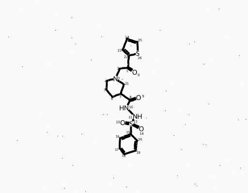 O=C(CN1CCCC(C(=O)NNS(=O)(=O)c2ccccc2)C1)c1cccs1